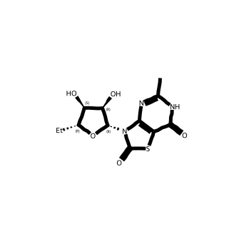 CC[C@H]1O[C@@H](n2c(=O)sc3c(=O)[nH]c(C)nc32)[C@H](O)[C@@H]1O